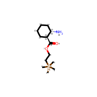 C[SH](C)(C)(C)CCOC(=O)[C@H]1CCCC[C@@H]1N